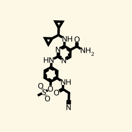 CS(=O)(=O)Oc1ccc(Nc2ncc(C(N)=O)c(NC(C3CC3)C3CC3)n2)cc1NC(=O)CC#N